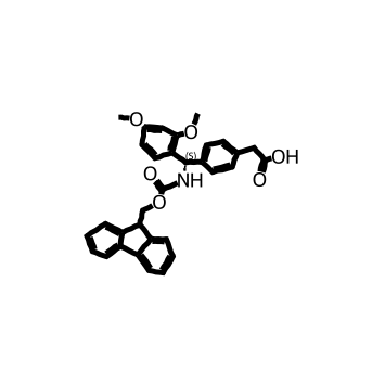 COc1ccc([C@@H](NC(=O)OCC2c3ccccc3-c3ccccc32)c2ccc(CC(=O)O)cc2)c(OC)c1